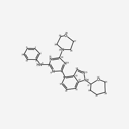 c1ccc(Nc2nc(-c3cccc4c3cnn4C3CCCCO3)nc(N3CCOCC3)n2)cc1